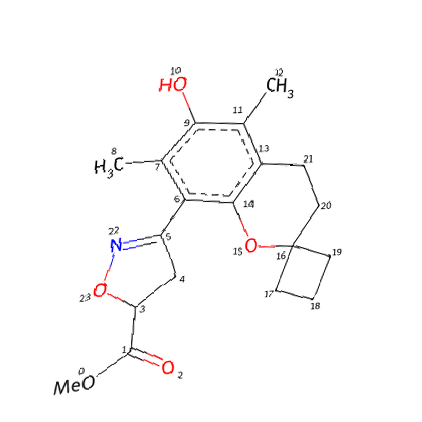 COC(=O)C1CC(c2c(C)c(O)c(C)c3c2OC2(CCC2)CC3)=NO1